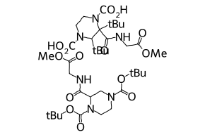 COC(=O)CNC(=O)C1(C(C)(C)C)C(C(C)(C)C)N(C(=O)O)CCN1C(=O)O.COC(=O)CNC(=O)C1CN(C(=O)OC(C)(C)C)CCN1C(=O)OC(C)(C)C